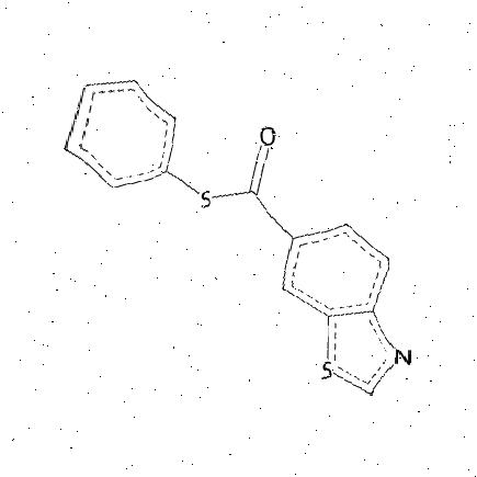 O=C(Sc1ccccc1)c1ccc2ncsc2c1